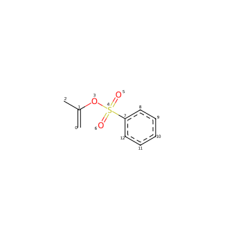 C=C(C)OS(=O)(=O)c1ccccc1